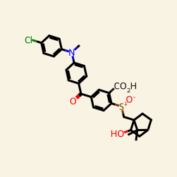 CN(c1ccc(Cl)cc1)c1ccc(C(=O)c2ccc([S+]([O-])CC34CCC(CC3O)C4(C)C)c(C(=O)O)c2)cc1